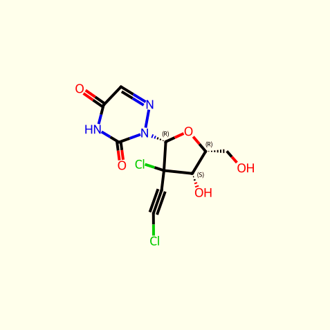 O=c1cnn([C@@H]2O[C@H](CO)[C@H](O)C2(Cl)C#CCl)c(=O)[nH]1